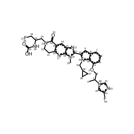 CC(COc1cccc2cc(-c3nc4cc5c(nc4n3C)CCN(CC(CF)NC(=O)O)C5=O)n(CC3CC3)c12)n1cnc(F)c1